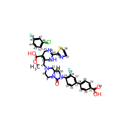 COC(O)C1=C(CN2CCN3C(=O)N(c4ccc(-c5ccc(C(=O)O)cc5)cc4F)C[C@@H]3C2)NC(c2nccs2)=N[C@H]1c1ccc(F)cc1Cl